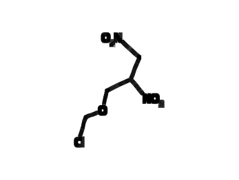 O=[N+]([O-])CC(COCCl)[N+](=O)[O-]